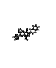 Cc1nc(C(=O)NC2CCc3ccccc3C2)c(N)nc1-c1ncco1